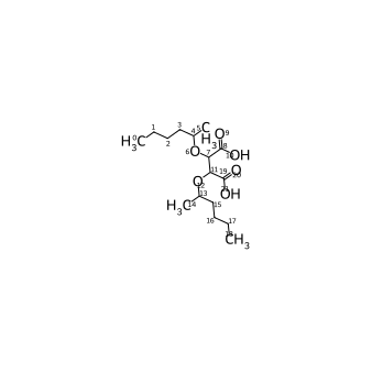 CCCCC(C)OC(C(=O)O)C(OC(C)CCCC)C(=O)O